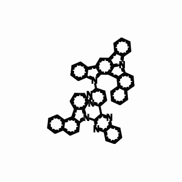 c1ccc2c(c1)ccc1c2c2ccccc2n1-c1nc2ccccc2nc1-c1ccc(-n2c3ccccc3c3cc4c5ccccc5n5c6ccc7ccccc7c6c(c32)c45)nn1